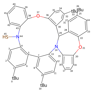 CC(C)(C)c1ccc2c(c1)-c1cc(C(C)(C)C)ccc1N1c3ccccc3Oc3ccc(C(C)(C)C)cc3C1c1cc(C(C)(C)C)ccc1Oc1ccccc1N2S